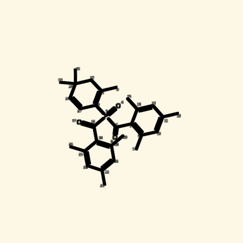 CC1=C(P(=O)(C(=O)c2c(C)cc(C)cc2C)C(=O)c2c(C)cc(C)cc2C)C=CC(C)(C)C1